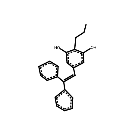 CCCc1c(O)cc(C=C(c2ccccc2)c2ccccc2)cc1O